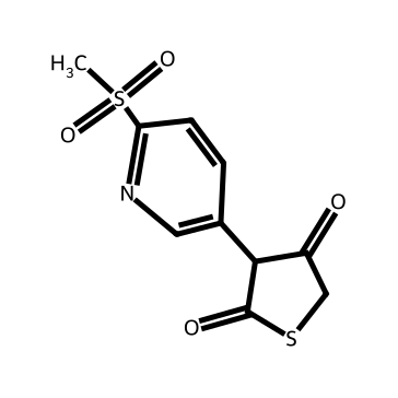 CS(=O)(=O)c1ccc(C2C(=O)CSC2=O)cn1